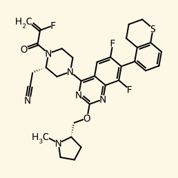 C=C(F)C(=O)N1CCN(c2nc(OC[C@@H]3CCCN3C)nc3c(F)c(-c4cccc5c4CCCS5)c(F)cc23)C[C@@H]1CC#N